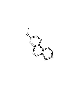 COc1ccc2c(ccc3ccccc32)c1